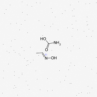 C/C=N/O.NC(=O)O